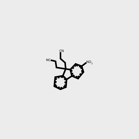 N#CCCC1(CCC#N)c2ccccc2-c2ccc([N+](=O)[O-])cc21